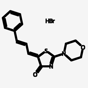 Br.O=C1N=C(N2CCOCC2)SC1=CC=Cc1ccccc1